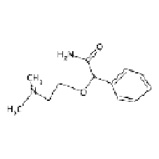 CN(C)CCOC(C(N)=O)c1ccccc1